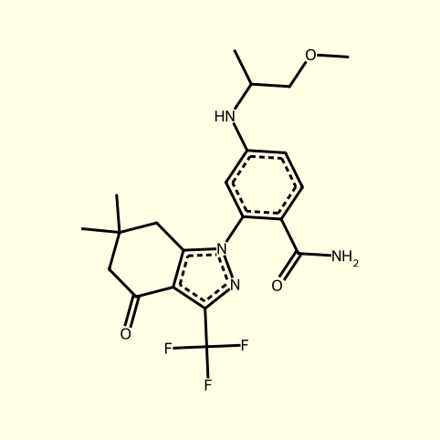 COCC(C)Nc1ccc(C(N)=O)c(-n2nc(C(F)(F)F)c3c2CC(C)(C)CC3=O)c1